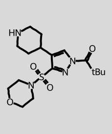 CC(C)(C)C(=O)n1cc(C2CCNCC2)c(S(=O)(=O)N2CCOCC2)n1